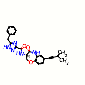 C=C(C)C#Cc1ccc2c(c1)NC(=O)[C@@H](NC(=O)c1n[nH]c(Cc3ccccc3)n1)CO2